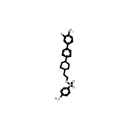 Cc1ccc(S(=O)(=O)OCCC2CCC(c3ccc(-c4ccc(C(F)(F)F)c(F)c4)cc3)CC2)cc1